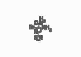 NC(=O)c1c(N)cc(-c2nccs2)nc1Br